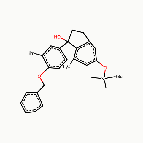 CC(C)c1cc(C2(O)CCc3cc(O[Si](C)(C)C(C)(C)C)cc(C(F)(F)F)c32)ccc1OCc1ccccc1